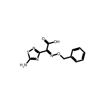 Nc1nc(C(=NOCc2ccccc2)C(=O)O)ns1